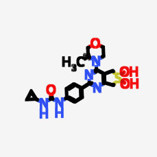 C[C@H]1COCCN1c1nc(-c2ccc(NC(=O)NC3CC3)cc2)nc2c1CS(O)(O)C2